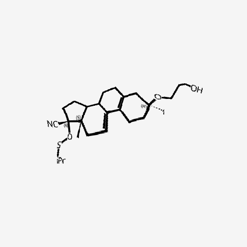 CC(C)SO[C@]1(C#N)CCC2C3CCC4=C(CC[C@](I)(OCCO)C4)C3=CC[C@@]21C